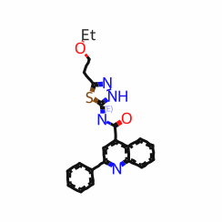 CCOCCc1n[nH]/c(=N\C(=O)c2cc(-c3ccccc3)nc3ccccc23)s1